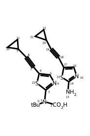 CC(C)(C)N(C(=O)O)c1ncc(C#CC2CC2)s1.Nc1ncc(C#CC2CC2)s1